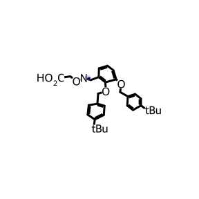 CC(C)(C)c1ccc(COc2cccc(/C=N/OCC(=O)O)c2OCc2ccc(C(C)(C)C)cc2)cc1